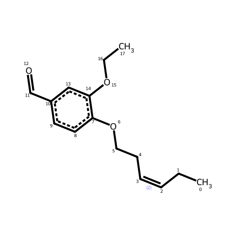 CC/C=C\CCOc1ccc(C=O)cc1OCC